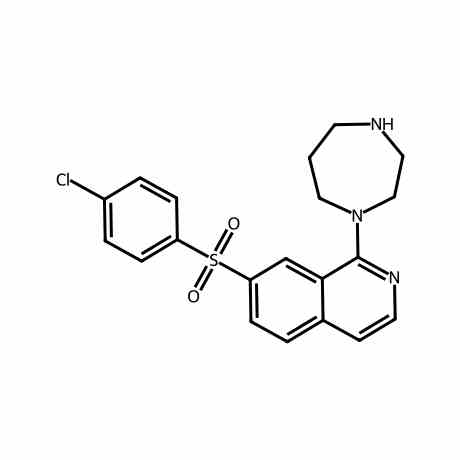 O=S(=O)(c1ccc(Cl)cc1)c1ccc2ccnc(N3CCCNCC3)c2c1